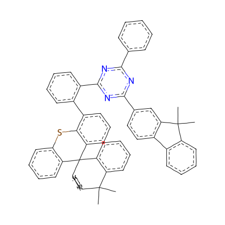 CC1(C)c2ccccc2-c2ccc(-c3nc(-c4ccccc4)nc(-c4ccccc4-c4cccc5c4Sc4ccccc4C54c5ccccc5C(C)(C)c5ccccc54)n3)cc21